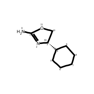 NC1=N[C@@H](C2CCCCC2)CO1